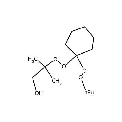 CC(C)(C)OOC1(OOC(C)(C)CO)CCCCC1